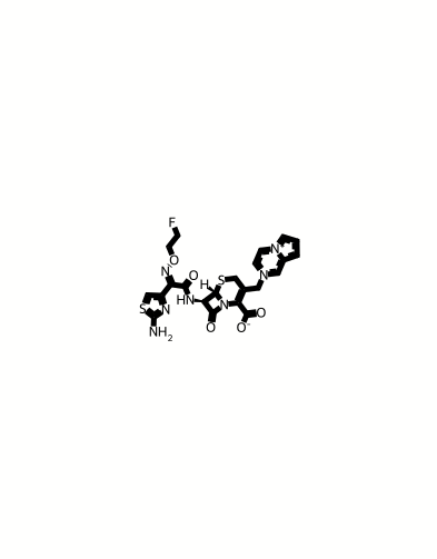 Nc1nc(/C(=N/OCCF)C(=O)N[C@@H]2C(=O)N3C(C(=O)[O-])=C(Cn4cc[n+]5cccc-5c4)CS[C@@H]23)cs1